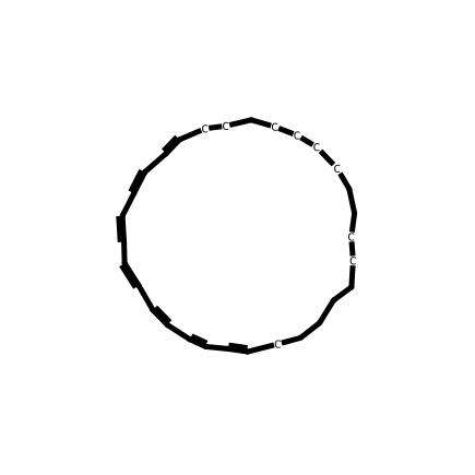 [C]1=C/C=C\C=C/C=C\C=C/C=C\C=C/CCCCCCCCCCCCCCCC\1